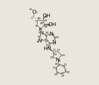 COC[C@H]1C[C@@H](n2cnc3c(N[C@H]4CCN(c5ccccc5)C4)ncnc32)[C@H](O)[C@@H]1O